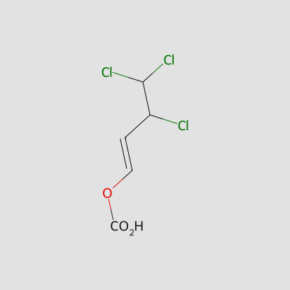 O=C(O)OC=CC(Cl)C(Cl)Cl